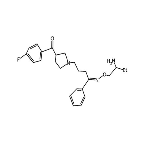 CCC(N)CO/N=C(\CCCN1CCC(C(=O)c2ccc(F)cc2)C1)c1ccccc1